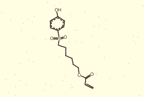 C=CC(=O)OCCCCCCS(=O)(=O)c1ccc(O)cc1